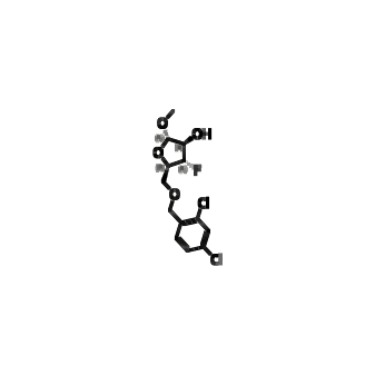 CO[C@H]1O[C@H](COCc2ccc(Cl)cc2Cl)[C@@H](F)[C@@H]1O